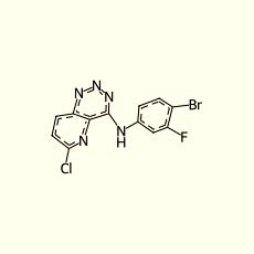 Fc1cc(Nc2nnnc3ccc(Cl)nc23)ccc1Br